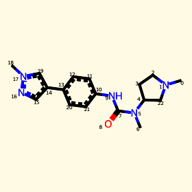 CN1CCC(N(C)C(=O)Nc2ccc(-c3cnn(C)c3)cc2)C1